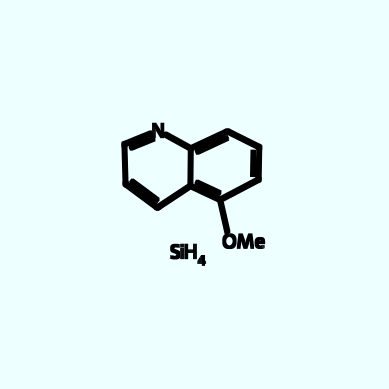 COc1cccc2ncccc12.[SiH4]